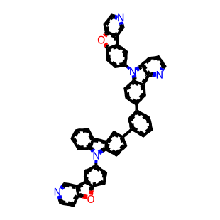 c1cc(-c2ccc3c(c2)c2ccccc2n3-c2ccc3oc4ccncc4c3c2)cc(-c2ccc3c(c2)c2ncccc2n3-c2ccc3oc4ccncc4c3c2)c1